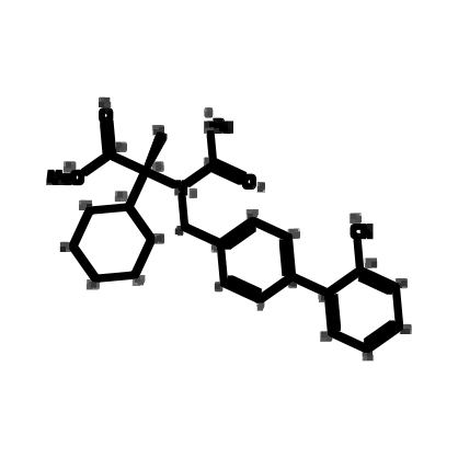 CCCCC(=O)N(Cc1ccc(-c2ccccc2C#N)cc1)[C@@](C)(C(=O)OC)C1CCCCC1